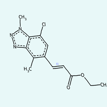 CCOC(=O)/C=C/c1cc(Cl)c2c(nnn2C)c1C